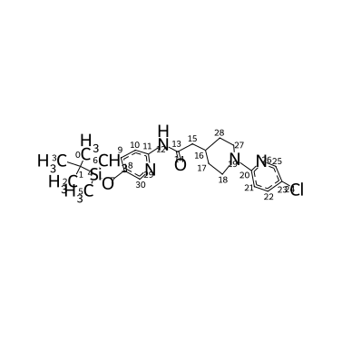 CC(C)(C)[Si](C)(C)Oc1ccc(NC(=O)CC2CCN(c3ccc(Cl)cn3)CC2)nc1